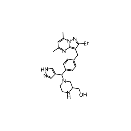 CCc1nn2c(C)cc(C)nc2c1Cc1ccc(C(c2cn[nH]c2)N2CCNC(CO)C2)cc1